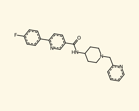 O=C(NC1CCN(Cc2ccccn2)CC1)c1ccc(-c2ccc(F)cc2)nc1